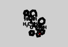 C[C@H](NC(=O)[C@H](CC(=O)N1CCC[C@@H]1c1ccccc1)NC1(C2CCCCCCC2)Nc2ccccc2O1)C1NC(c2ccccc2F)C2(CCCCCCC2)N1